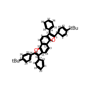 CC(C)(C)c1ccc(-c2oc3c(ccc4c3ccc3c(-c5ccccc5)c(-c5ccc(C(C)(C)C)cc5)oc34)c2-c2ccccc2)cc1